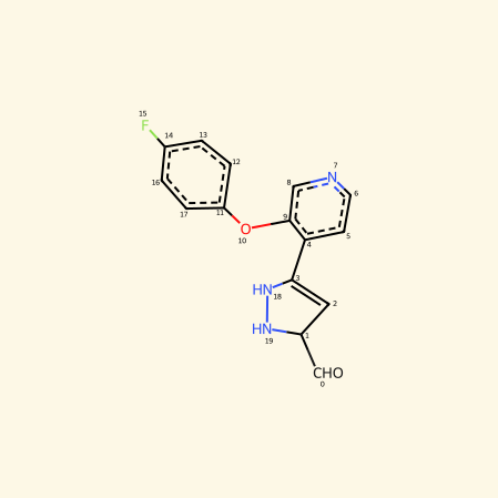 O=CC1C=C(c2ccncc2Oc2ccc(F)cc2)NN1